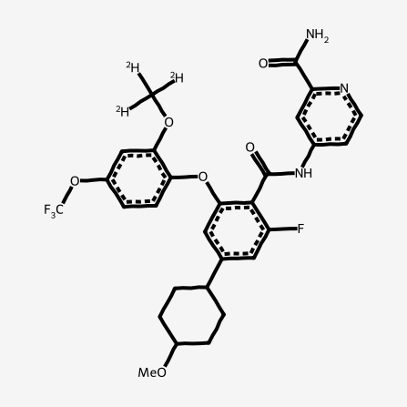 [2H]C([2H])([2H])Oc1cc(OC(F)(F)F)ccc1Oc1cc(C2CCC(OC)CC2)cc(F)c1C(=O)Nc1ccnc(C(N)=O)c1